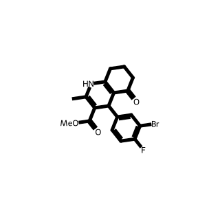 COC(=O)C1=C(C)NC2=C(C(=O)CCC2)C1c1ccc(F)c(Br)c1